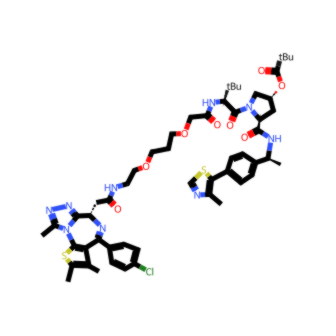 Cc1ncsc1-c1ccc([C@H](C)NC(=O)[C@@H]2C[C@@H](OC(=O)C(C)(C)C)CN2C(=O)[C@@H](NC(=O)COCCCOCCNC(=O)C[C@@H]2N=C(c3ccc(Cl)cc3)c3c(sc(C)c3C)-n3c(C)nnc32)C(C)(C)C)cc1